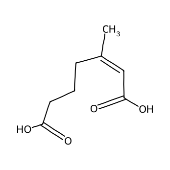 CC(=CC(=O)O)CCCC(=O)O